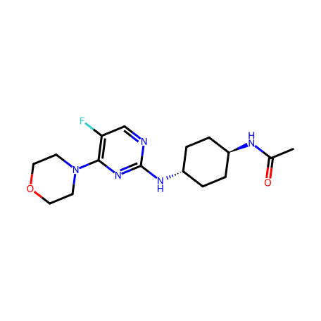 CC(=O)N[C@H]1CC[C@H](Nc2ncc(F)c(N3CCOCC3)n2)CC1